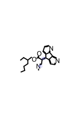 CCCCC(CC)COC(=O)C(/C=N/C)=C1/c2ccncc2-c2ncccc21